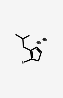 Br.Br.CC(C)CC1=[C]([Ti])CC=C1